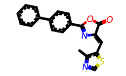 Cc1ncsc1C=C1N=C(c2ccc(-c3ccccc3)cc2)OC1=O